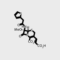 CO[C@@]1(NC(=O)Cc2cccs2)C(=O)N2C(C(=O)O)=C(C=CC(=O)O)CS[C@H]21